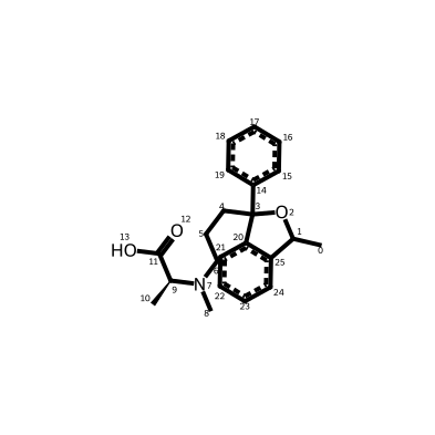 CC1OC(CCCN(C)[C@@H](C)C(=O)O)(c2ccccc2)c2ccccc21